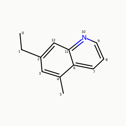 CCc1cc(C)c2cccnc2c1